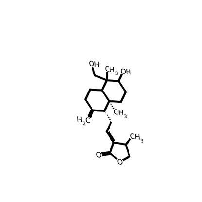 C=C1CCC2C(C)(CO)C(O)CC[C@@]2(C)[C@@H]1C/C=C1/C(=O)OCC1C